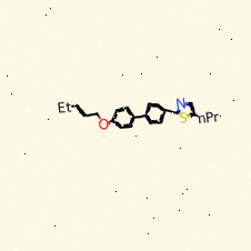 CCC=CCOc1ccc(-c2ccc(-c3ncc(CCC)s3)cc2)cc1